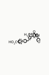 CC1CN(CC2CCN(c3ncc(C(=O)O)cn3)CC2)CC1c1nc2c(cnn2C2CCOCC2)c(=O)[nH]1